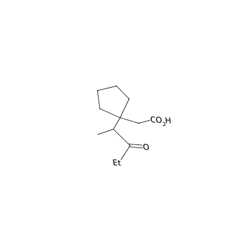 CCC(=O)C(C)C1(CC(=O)O)CCCC1